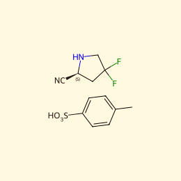 Cc1ccc(S(=O)(=O)O)cc1.N#C[C@@H]1CC(F)(F)CN1